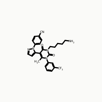 Cc1c(-c2ccnn2-c2ccc(C#N)cc2)c(=O)n(CCCCCN)c(=O)n1-c1cccc(C(F)(F)F)c1